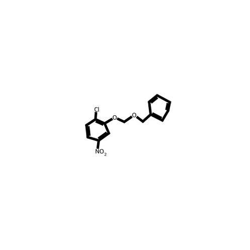 O=[N+]([O-])c1ccc(Cl)c(OCOCc2ccccc2)c1